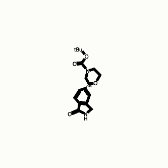 CC(C)(C)OC(=O)N1CCO[C@H](c2ccc3c(c2)CNC3=O)C1